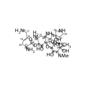 CN[C@@H]1[C@@H](O)[C@@H](O[C@]2(CCO)[C@@H](O)[C@H](O[C@H]3OC(CN)=CC[C@H]3N)[C@@H](N)C[C@]2(N)C(=O)CC2(O)CCNC2)OC[C@]1(C)O